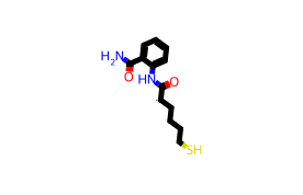 NC(=O)c1ccccc1NC(=O)[CH]CCCCS